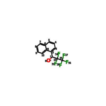 [O]C(c1cccc2ccccc12)C(F)(F)C(F)(F)F